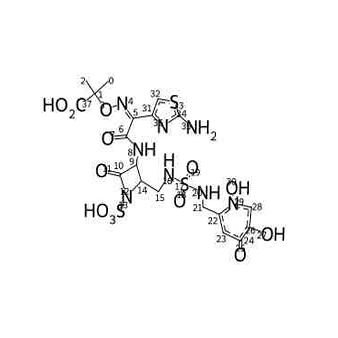 CC(C)(O/N=C(\C(=O)NC1C(=O)N(S(=O)(=O)O)C1CNS(=O)(=O)NCc1cc(=O)c(O)cn1O)c1csc(N)n1)C(=O)O